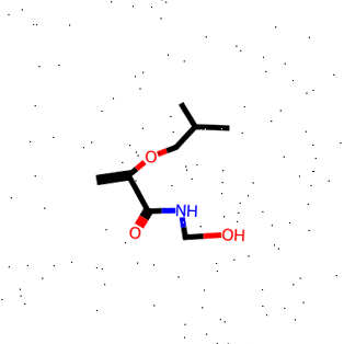 C=C(OCC(C)C)C(=O)NCO